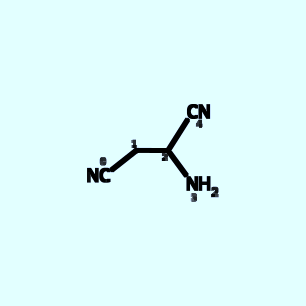 N#CCC(N)C#N